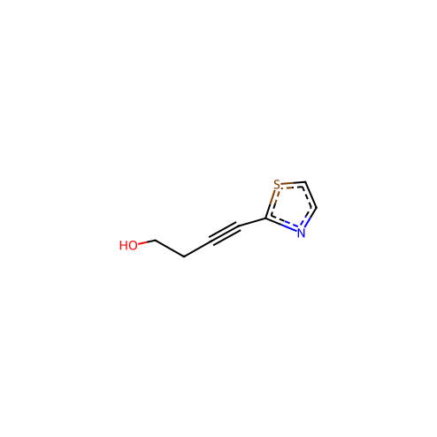 OCCC#Cc1nccs1